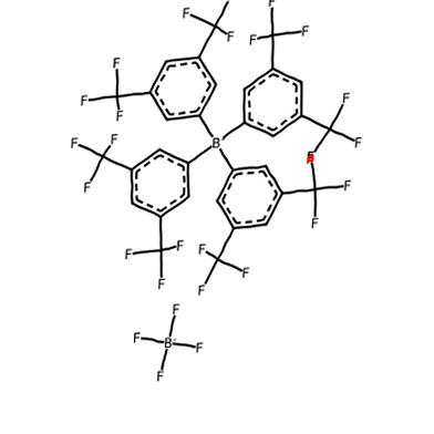 FC(F)(F)c1cc([B-](c2cc(C(F)(F)F)cc(C(F)(F)F)c2)(c2cc(C(F)(F)F)cc(C(F)(F)F)c2)c2cc(C(F)(F)F)cc(C(F)(F)F)c2)cc(C(F)(F)F)c1.F[B-](F)(F)F